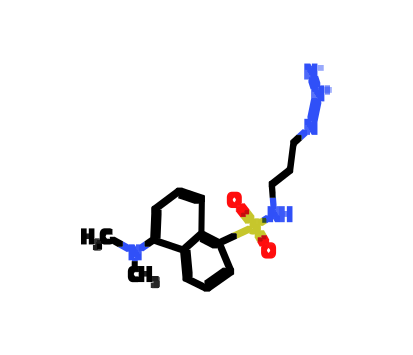 CN(C)c1cccc2c(S(=O)(=O)NCCCN=[N+]=[N-])cccc12